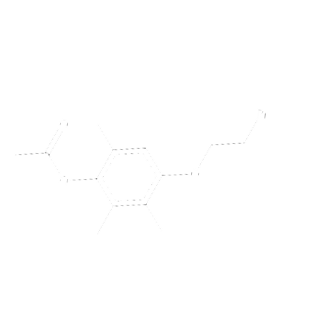 CC(=O)Oc1c(C)cc(OCCBr)c(C)c1C